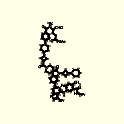 CNC(=O)CCC(C=O)N(C(C)=O)C(=O)c1ccc(N2CCC(N3CC(C(=O)N4CCC5(CC4)C(=O)N(C4CC(N6CCCCC6)C4)c4cc(-c6cc7ncn(C(C)C)c7c(Nc7cc(C(=O)NC(C)C)c(C)cc7F)n6)ccc45)C3)CC2)cc1